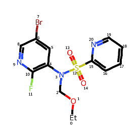 CCOCN(c1cc(Br)cnc1F)S(=O)(=O)c1ccccn1